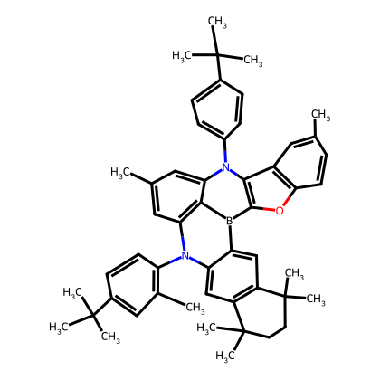 Cc1cc2c3c(c1)N(c1ccc(C(C)(C)C)cc1)c1c(oc4ccc(C)cc14)B3c1cc3c(cc1N2c1ccc(C(C)(C)C)cc1C)C(C)(C)CCC3(C)C